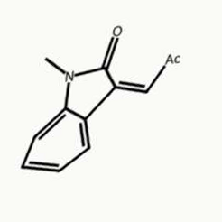 CC(=O)C=C1C(=O)N(C)c2ccccc21